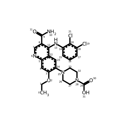 CCOc1cc2ncc(C(N)=O)c(Nc3cccc(Cl)c3Cl)c2cc1N1CCN(C(=O)O)CC1